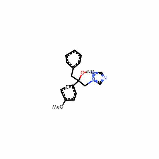 COc1ccc(C(Cc2ccccc2)(Cn2cncn2)O[N+](=O)[O-])cc1